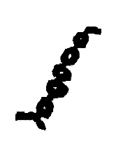 COC(=O)c1ccc(-c2ccc(N3CCN([C@H]4CC[C@H](c5ccc(OC)cc5)CC4)CC3)cc2)cc1